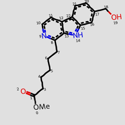 COC(=O)CCCCCc1nccc2c1[nH]c1cc(CO)ccc12